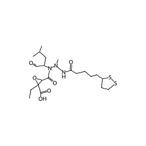 CCC1(C(=O)O)OC1C(=O)N(C(C=O)CC(C)C)N(C)NC(=O)CCCCC1CCSS1